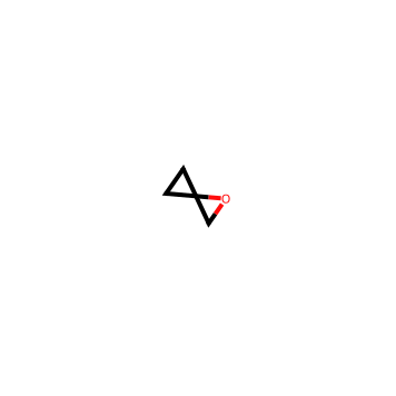 [CH]1OC12CC2